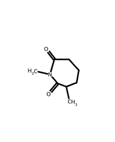 CC1CCCC(=O)N(C)C1=O